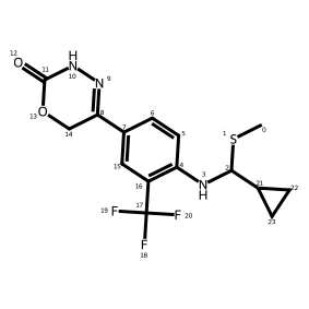 CSC(Nc1ccc(C2=NNC(=O)OC2)cc1C(F)(F)F)C1CC1